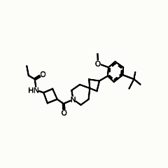 CCC(=O)NC1CC(C(=O)N2CCC3(CC2)CC(c2cc(C(C)(C)C)ccc2OC)C3)C1